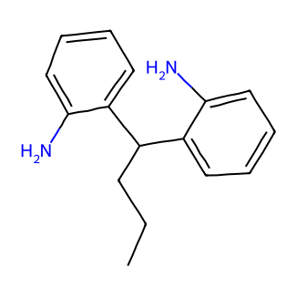 CCCC(c1ccccc1N)c1ccccc1N